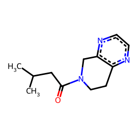 CC(C)CC(=O)N1CCc2nccnc2C1